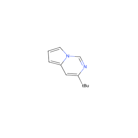 CC(C)(C)c1cc2cccn2cn1